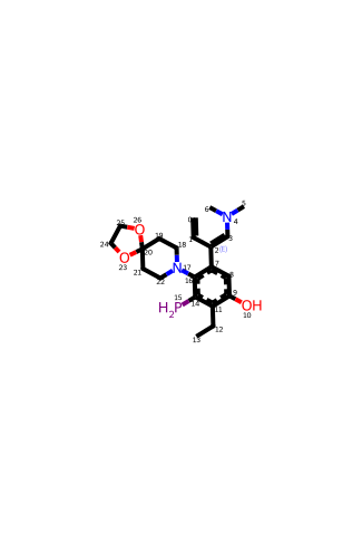 C=C/C(=C\N(C)C)c1cc(O)c(CC)c(P)c1N1CCC2(CC1)OCCO2